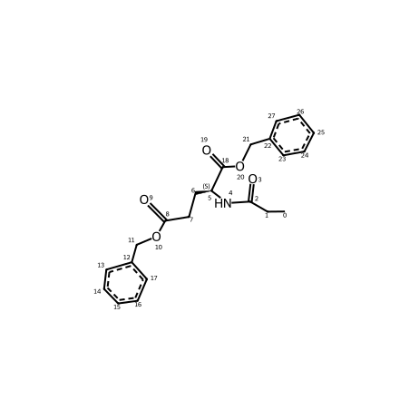 CCC(=O)N[C@@H](CCC(=O)OCc1ccccc1)C(=O)OCc1ccccc1